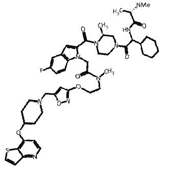 CN[C@@H](C)C(=O)NC(C(=O)N1CCN(C(=O)c2cc3cc(F)ccc3n2CC(=O)N(C)CCOc2cc(CN3CCC(Oc4ccnc5ccsc45)CC3)on2)[C@@H](C)C1)C1CCCCC1